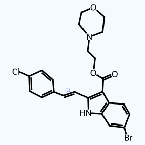 O=C(OCCN1CCOCC1)c1c(/C=C/c2ccc(Cl)cc2)[nH]c2cc(Br)ccc12